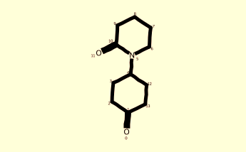 O=C1CCC(N2CCCCC2=O)CC1